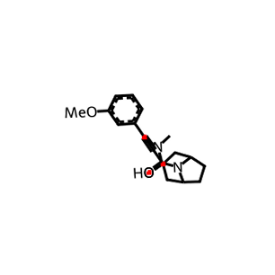 COc1cccc(C#CC2(O)CC3CCC(C2)N3C(=O)N(C)C)c1